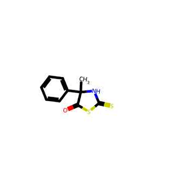 CC1(c2ccccc2)NC(=S)SC1=O